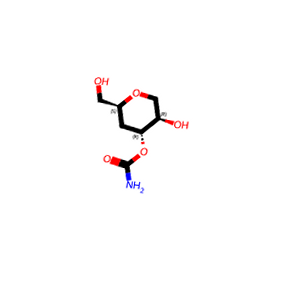 NC(=O)O[C@@H]1C[C@@H](CO)OC[C@H]1O